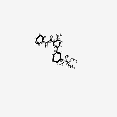 CN(C)S(=O)(=O)c1cccc(-c2cnc(N)c(C(=O)Nc3cccnc3)n2)c1